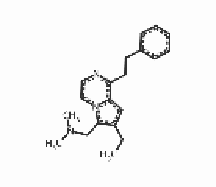 CCc1cc2c(CCc3ccccc3)nccn2c1CN(C)C